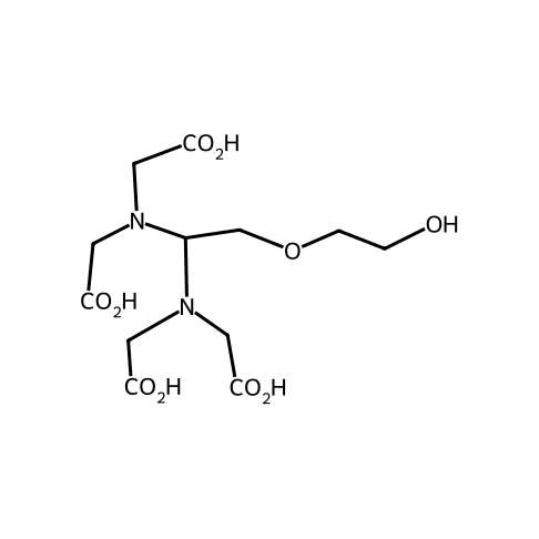 O=C(O)CN(CC(=O)O)C(COCCO)N(CC(=O)O)CC(=O)O